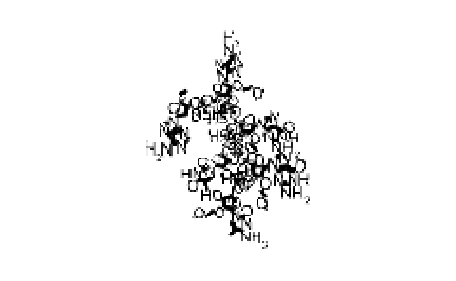 CC[C@H]1O[C@@H](n2cnc3c(N)ncnc32)C[C@H]1OP(=O)(S)OC[C@H]1O[C@@H](n2cnc3c(N)ncnc32)C(OCCOC)[C@H]1OP(=O)(S)OC[C@H]1O[C@@H](n2cnc3c(=O)[nH]c(N)nc32)C(OCCOC)[C@H]1OP(=O)(S)OC[C@H]1O[C@@H](n2cc(C)c(=O)[nH]c2=O)C(OCCOC)[C@H]1OP(=O)(S)OC[C@H]1O[C@@H](n2cnc3c(=O)[nH]c(N)nc32)C(OCCOC)[C@H]1OP(=O)(S)OC[C@H]1O[C@@H](n2cc(C)c(N)nc2=O)C(OCCOC)[C@H]1O